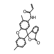 C=CC(=O)Nc1cc2c(cc1C)Oc1cc(C)ccc1C21OC(=O)c2ccccc21